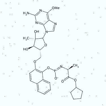 COc1nc(N)nc2c1ncn2C1O[C@H](COc2ccc3ccccc3c2O/[P+]([O-])=N/[C@@H](C)C(=O)OC2CCCC2)[C@@H](O)[C@@]1(C)O